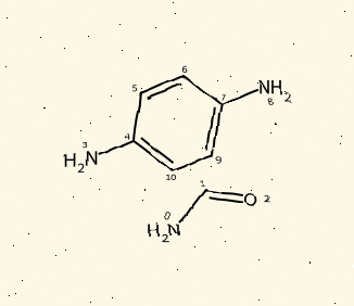 NC=O.Nc1ccc(N)cc1